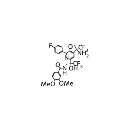 COc1ccc(C(=O)NCC(O)(c2cc3c(c(-c4ccc(F)cc4)n2)OC[C@@]3(N)C(F)(F)F)C(F)(F)F)cc1OC